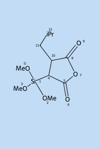 CO[Si](OC)(OC)C1C(=O)OC(=O)C1CC(C)C